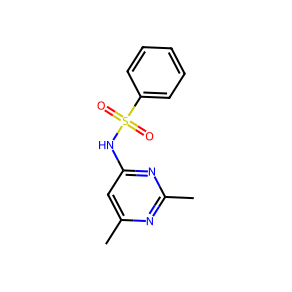 Cc1cc(NS(=O)(=O)c2ccccc2)nc(C)n1